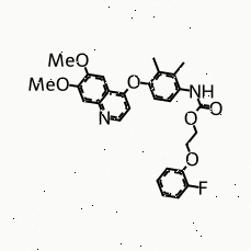 COc1cc2nccc(Oc3ccc(NC(=O)OCCOc4ccccc4F)c(C)c3C)c2cc1OC